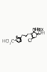 CCCCCCC1[C@@H](CCCc2ccc(C(=O)O)s2)C(Cl)C[C@H]1O